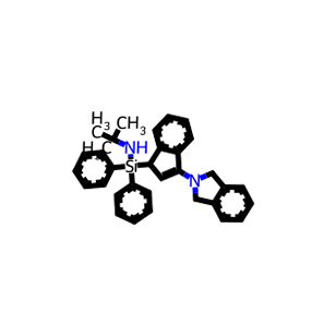 CC(C)(C)N[Si](c1ccccc1)(c1ccccc1)C1C=C(N2Cc3ccccc3C2)c2ccccc21